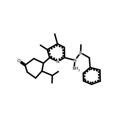 BN(B(C)Cc1ccccc1)c1cc(C)c(C)c(C2CC(=O)CCC2C(C)C)n1